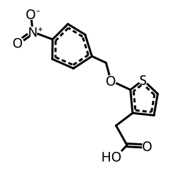 O=C(O)Cc1ccsc1OCc1ccc([N+](=O)[O-])cc1